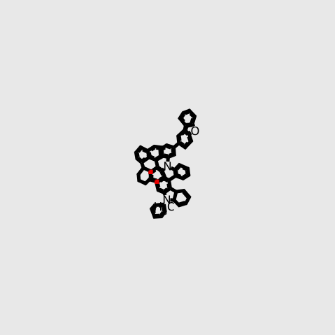 CC12C=CC=CC1c1c(-c3ccccc3N(c3cccc(-c4ccc5oc6ccccc6c5c4)c3)c3ccccc3-c3cccc4cccc(C5CCCCC5)c34)cccc1N2c1ccccc1